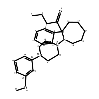 CCCC(=O)C1(c2ccccc2)CCCCCN1N1CCN(c2cccc(OC)c2)CC1